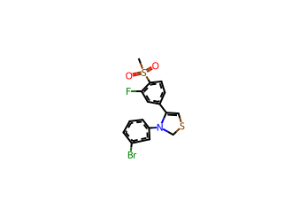 CS(=O)(=O)c1ccc(C2=CSCN2c2cccc(Br)c2)cc1F